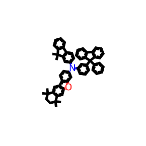 CC1(C)CCC(C)(C)c2cc3c(cc21)oc1cc(N(c2cccc(C4(c5ccccc5)c5ccccc5-c5ccccc54)c2)c2ccc4c(c2)C(C)(C)c2ccccc2-4)ccc13